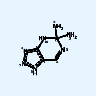 NC1(N)N=Cc2[nH]nnc2N1